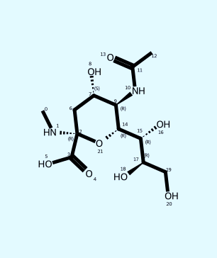 CN[C@]1(C(=O)O)C[C@H](O)[C@@H](NC(C)=O)[C@H]([C@H](O)[C@H](O)CO)O1